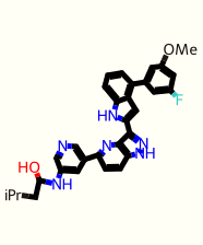 COc1cc(F)cc(-c2cccc3[nH]c(-c4n[nH]c5ccc(-c6cncc(NC(O)CC(C)C)c6)nc45)cc23)c1